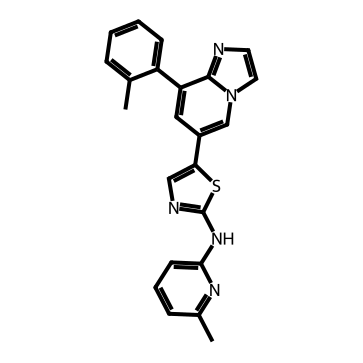 Cc1cccc(Nc2ncc(-c3cc(-c4ccccc4C)c4nccn4c3)s2)n1